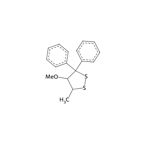 COC1C(C)SSC1(c1ccccc1)c1ccccc1